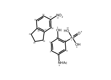 CC(=O)Nc1ccc(O)c([As](=O)(O)O)c1.O=[N+]([O-])c1ccc2c(c1)CCC2